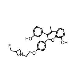 CC1=C(c2cccc(O)c2)[C@H](c2ccc(OCCN3CC(CF)C3)cc2)Oc2c(O)cccc21